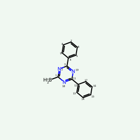 Bc1nc(-c2ccccc2)nc(-c2ccccc2)n1